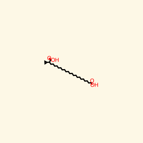 O=C(O)CCCCCCCCCCCCCCCCCCCCCC(C(=O)O)C1CC1